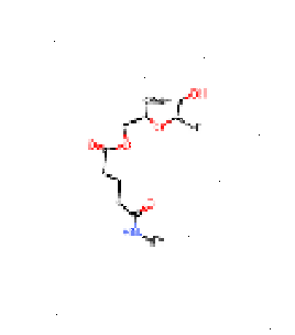 CCCNC(=O)CCCC(=O)OCC(OC)OC(CC)CO